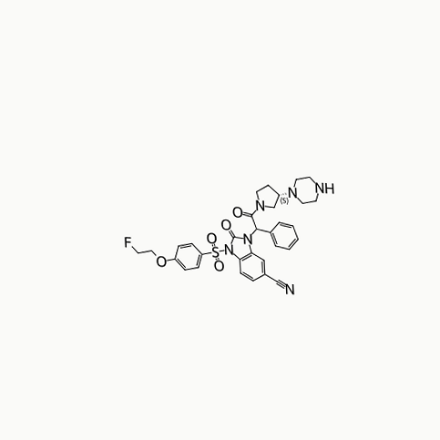 N#Cc1ccc2c(c1)n(C(C(=O)N1CC[C@H](N3CCNCC3)C1)c1ccccc1)c(=O)n2S(=O)(=O)c1ccc(OCCF)cc1